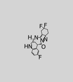 Nc1c2c(nn1C(=O)[C@@H]1CCNc3ccc(F)cc31)CCC(F)(F)C2